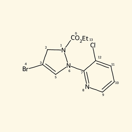 CCOC(=O)N1CC(Br)=CN1c1ncccc1Cl